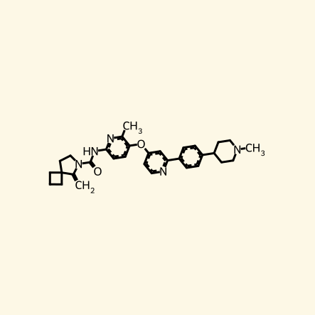 C=C1N(C(=O)Nc2ccc(Oc3ccnc(-c4ccc(C5CCN(C)CC5)cc4)c3)c(C)n2)CCC12CCC2